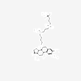 Cc1cc2c(cc1O)C[C@@H](CCCCCN(C)CCCS(=O)(=O)CCCC(F)(F)C(F)(F)F)[C@@H]1[C@@H]2[C@@H](F)C[C@]2(C)C(=O)CC[C@@H]12